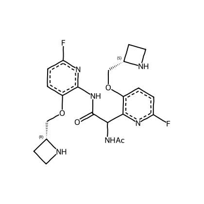 CC(=O)NC(C(=O)Nc1nc(F)ccc1OC[C@H]1CCN1)c1nc(F)ccc1OC[C@@H]1CCN1